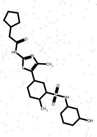 Cc1nc(NC(=O)CC2CCCC2)sc1C1CCC(C)C(S(=O)(=O)NC2CCCC(O)C2)C1